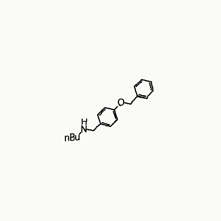 CCCCNCc1ccc(OCc2ccccc2)cc1